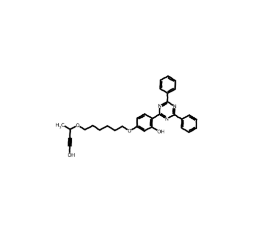 CC(C#CO)OCCCCCCOc1ccc(-c2nc(-c3ccccc3)nc(-c3ccccc3)n2)c(O)c1